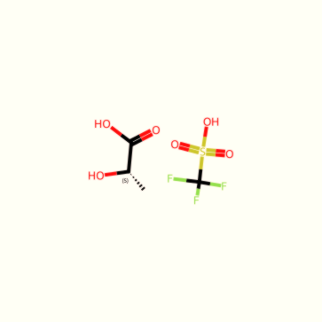 C[C@H](O)C(=O)O.O=S(=O)(O)C(F)(F)F